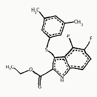 CCOC(=O)c1[nH]c2ccc(F)c(F)c2c1Sc1cc(C)cc(C)c1